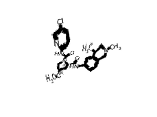 CO[C@@H]1C[C@H](C(=O)Nc2ccc3c(c2)C(C)CN(C)C3)N(C(=O)Nc2ccc(Cl)cn2)C1